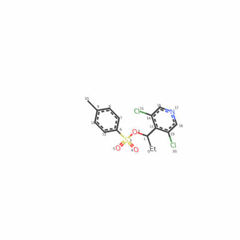 CCC(OS(=O)(=O)c1ccc(C)cc1)c1c(Cl)cncc1Cl